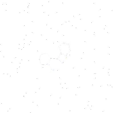 CCNN1CCCCC1c1nsc2cc(F)ccc12